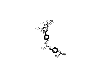 COP(=O)(CN(CCc1ccc(O[PH](=S)N(C)/N=C/c2ccc(OP(P)P)cc2)cc1)CP(=O)(OC)OC)OC